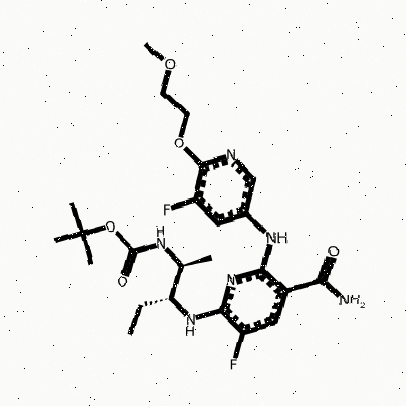 CC[C@@H](Nc1nc(Nc2cnc(OCCOC)c(F)c2)c(C(N)=O)cc1F)[C@H](C)NC(=O)OC(C)(C)C